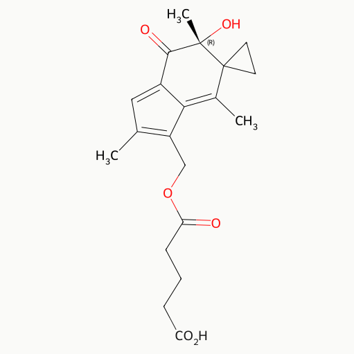 CC1=C(COC(=O)CCCC(=O)O)C2=C(C)C3(CC3)[C@@](C)(O)C(=O)C2=C1